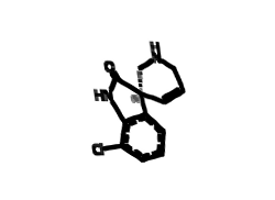 O=C1Nc2c(Cl)cccc2[C@]12C=CCNC2